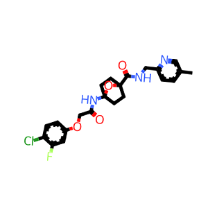 Cc1ccc(CNC(=O)C23CCC(NC(=O)COc4ccc(Cl)c(F)c4)(CC2)O3)nc1